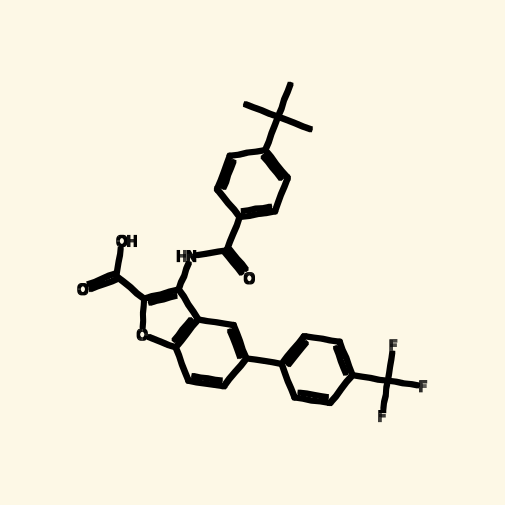 CC(C)(C)c1ccc(C(=O)Nc2c(C(=O)O)oc3ccc(-c4ccc(C(F)(F)F)cc4)cc23)cc1